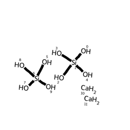 O[Si](O)(O)O.O[Si](O)(O)O.[CaH2].[CaH2]